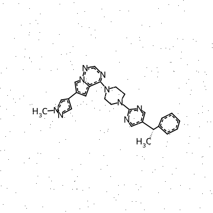 C[C@@H](c1ccccc1)c1cnc(N2CCN(c3ncnn4cc(-c5cnn(C)c5)cc34)CC2)nc1